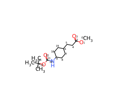 COC(=O)CCC1CCC(NC(=O)OC(C)(C)C)CC1